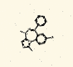 Cc1nnc2n1-c1ccc(Br)cc1C(c1ccccc1)=N[C@@H]2C